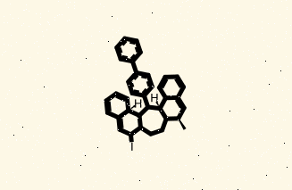 C[C@@H]1C=C2C=CC=CC2[C@@H]2C(c3ccc(-c4ccccc4)cc3)C3C(CCC21)C(I)C=C1C=CC=C[C@H]13